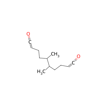 CC(CCC=C=O)C(C)CCC=C=O